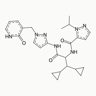 CC(C)n1nccc1C(=O)NC(C(=O)Nc1ccn(Cc2ccc[nH]c2=O)n1)C(C1CC1)C1CC1